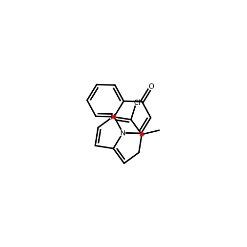 CC1C/C=C(n2ccc(=O)c3ccccc32)/C=C\N=C/1Cl